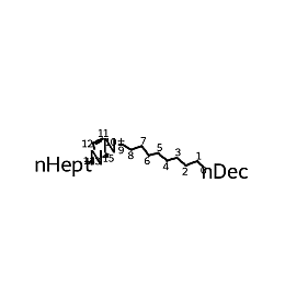 CCCCCCCCCCCCCCCCCCC[n+]1ccn(CCCCCCC)c1